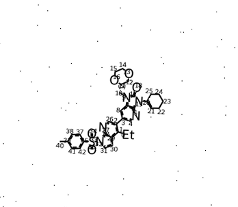 CCc1c(-c2cnc3c(c2)n(C[C@H]2COCCO2)c(=O)n3C2=CCCCC2)cnc2c1ccn2S(=O)(=O)c1ccc(C)cc1